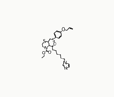 C=CCOc1ccc(SCC2SCCN(C(=O)OCC)C2C(=O)CCCCCCn2ccnc2)cc1